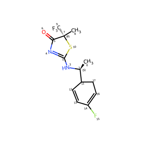 C[C@H](NC1=NC(=O)[C@](C)(C(F)(F)F)S1)C1C=CC(F)=CC1